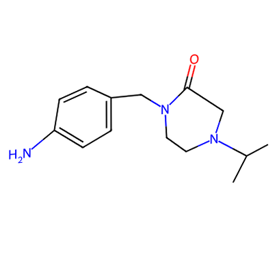 CC(C)N1CCN(Cc2ccc(N)cc2)C(=O)C1